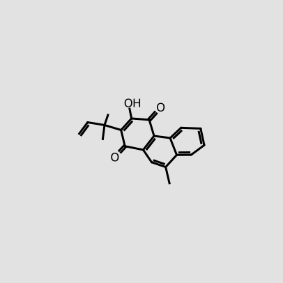 C=CC(C)(C)C1=C(O)C(=O)c2c(cc(C)c3ccccc23)C1=O